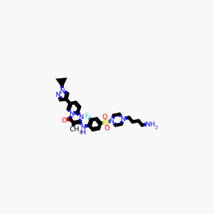 Cc1c(Nc2ccc(S(=O)(=O)N3CCN(CCCCN)CC3)cc2F)nc2ccc(-c3cnn(C4CC4)c3)cn2c1=O